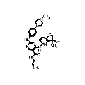 C=CCNC(=O)c1cnc(Nc2ccc(N3CCN(C)CC3)cc2)nc1Nc1ccc2c(n1)[C@@](C)(O)CO2